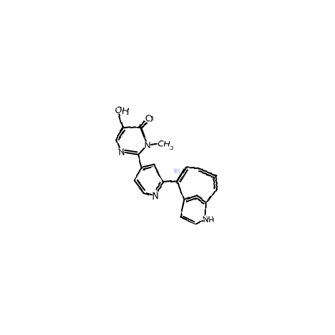 Cn1c(-c2ccnc(/C3=C/C=C=CC4=C=C3C=CN4)c2)ncc(O)c1=O